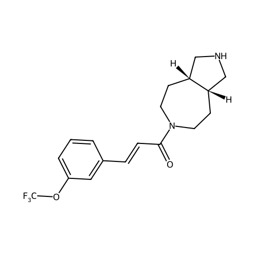 O=C(C=Cc1cccc(OC(F)(F)F)c1)N1CC[C@@H]2CNC[C@@H]2CC1